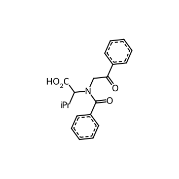 CC(C)C(C(=O)O)N(CC(=O)c1ccccc1)C(=O)c1ccccc1